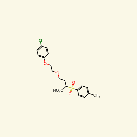 Cc1ccc(S(=O)(=O)C(CCOCCOc2ccc(Cl)cc2)C(=O)O)cc1